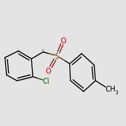 Cc1ccc(S(=O)(=O)[C]c2ccccc2Cl)cc1